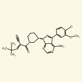 COc1cc(-c2nn([C@@H]3CCCN(C(=O)/C(C#N)=C/C(C)(C)C)C3)c3ncnc(N)c23)ccc1Cl